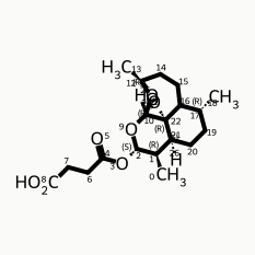 C[C@H]1[C@H](OC(=O)CCC(=O)O)O[C@@H]2O[C@@]3(C)CCC4[C@H](C)CC[C@@H]1[C@]42OO3